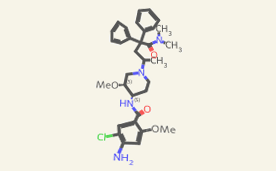 COc1cc(N)c(Cl)cc1C(=O)N[C@H]1CCN(C(C)CC(C(=O)N(C)C)(c2ccccc2)c2ccccc2)C[C@@H]1OC